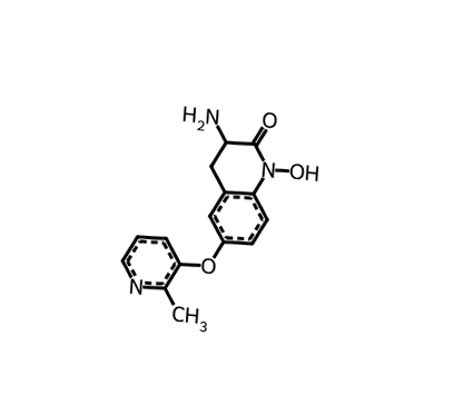 Cc1ncccc1Oc1ccc2c(c1)CC(N)C(=O)N2O